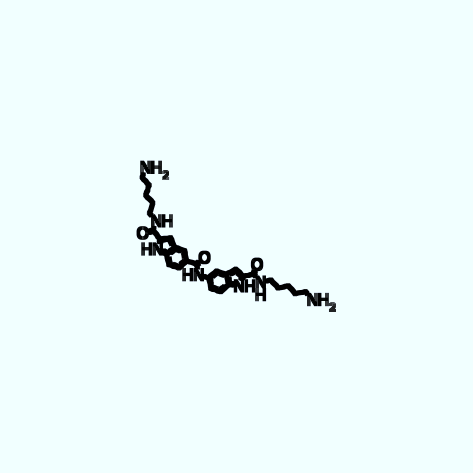 NCCCCCNC(=O)c1cc2cc(NC(=O)c3ccc4[nH]c(C(=O)NCCCCCN)cc4c3)ccc2[nH]1